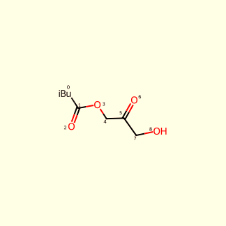 CCC(C)C(=O)OCC(=O)CO